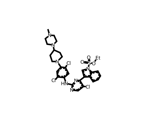 CCOS(=O)(=O)n1cc(-c2nc(Nc3cc(Cl)c(N4CCC(N5CCN(C)CC5)CC4)cc3Cl)ncc2Cl)c2ccccc21